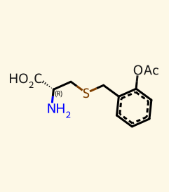 CC(=O)Oc1ccccc1CSC[C@H](N)C(=O)O